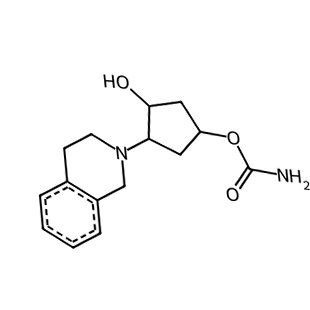 NC(=O)OC1CC(O)C(N2CCc3ccccc3C2)C1